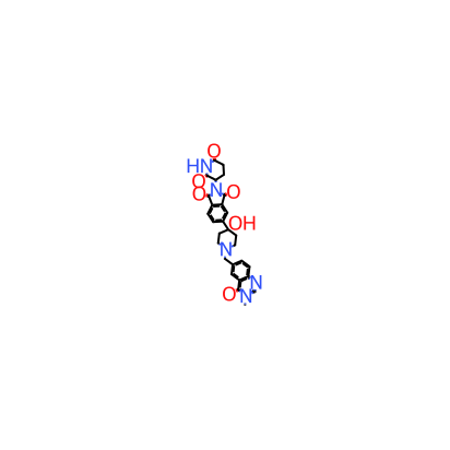 Cn1cnc2ccc(CN3CCC(O)(c4ccc5c(c4)C(=O)N(C4CCC(=O)NC4=O)C5=O)CC3)cc2c1=O